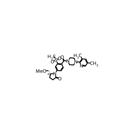 COC[C@H]1CCC(=O)N1c1ccc(C(=O)N2CCN(c3ncc(C)cc3C)CC2)c(S(C)(=O)=O)c1